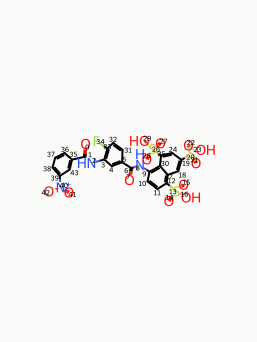 O=C(Nc1cc(C(=O)Nc2ccc(S(=O)(=O)O)c3cc(S(=O)(=O)O)cc(S(=O)(=O)O)c23)ccc1F)c1cccc([N+](=O)[O-])c1